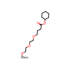 CCCCCCCCCOCCOCCOCCCC(=O)OC1CCCCC1